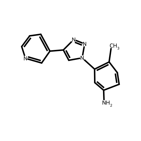 Cc1ccc(N)cc1-n1cc(-c2cccnc2)nn1